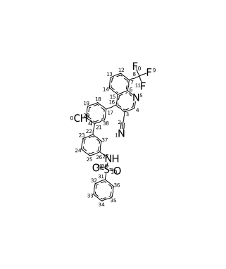 C.N#Cc1cnc2c(C(F)(F)F)cccc2c1-c1cccc(-c2cccc(NS(=O)(=O)c3ccccc3)c2)c1